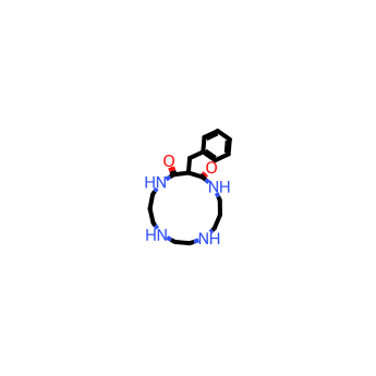 O=C1NCCCNCCNCCCNC(=O)C1Cc1ccccc1